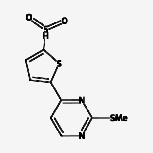 CSc1nccc(-c2ccc([SH](=O)=O)s2)n1